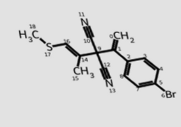 C=C(c1ccc(Br)cc1)C(C#N)(C#N)C(C)=CSC